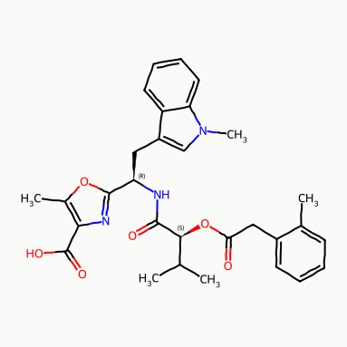 Cc1ccccc1CC(=O)O[C@H](C(=O)N[C@H](Cc1cn(C)c2ccccc12)c1nc(C(=O)O)c(C)o1)C(C)C